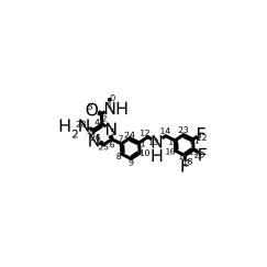 CNC(=O)c1nc(-c2cccc(CNCc3cc(F)c(F)c(F)c3)c2)cnc1N